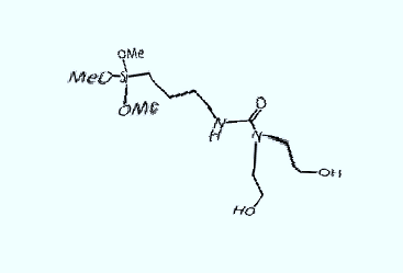 CO[Si](CCCNC(=O)N(CCO)CCO)(OC)OC